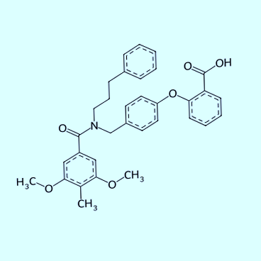 COc1cc(C(=O)N(CCCc2ccccc2)Cc2ccc(Oc3ccccc3C(=O)O)cc2)cc(OC)c1C